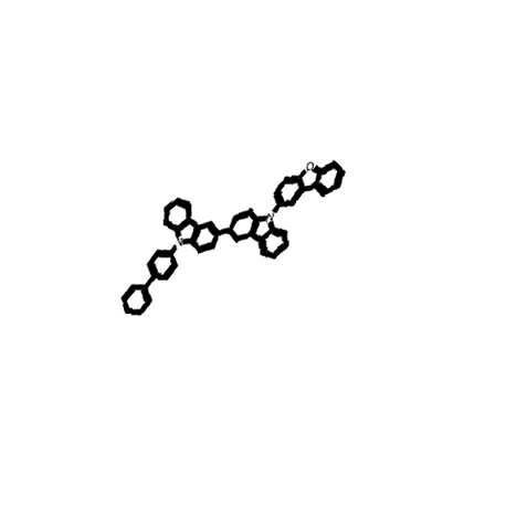 C1=CC(c2ccc(-n3c4c(c5cc(C6C=Cc7c(c8ccccc8n7-c7ccc8oc9ccccc9c8c7)C6)ccc53)C=CCC4)cc2)=CCC1